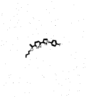 C=C(OCCCC)c1ccc(-c2ccn(-c3ccc(F)cc3)n2)nn1